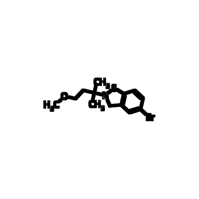 COCCC(C)(C)N1Cc2cc(Br)ccc2S1